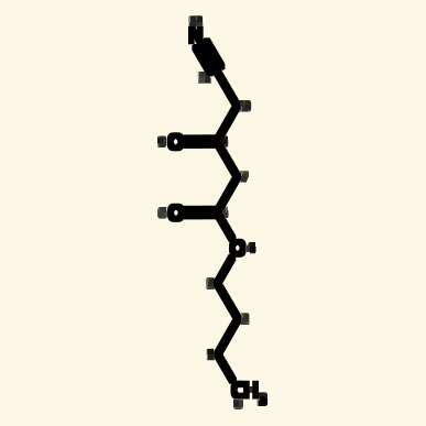 CCCCOC(=O)CC(=O)CC#N